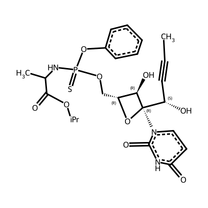 CC#C[C@H](O)[C@@]1(n2ccc(=O)[nH]c2=O)O[C@H](COP(=S)(NC(C)C(=O)OC(C)C)Oc2ccccc2)[C@H]1O